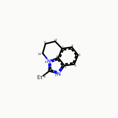 CCc1nc2cccc3c2n1CCC3